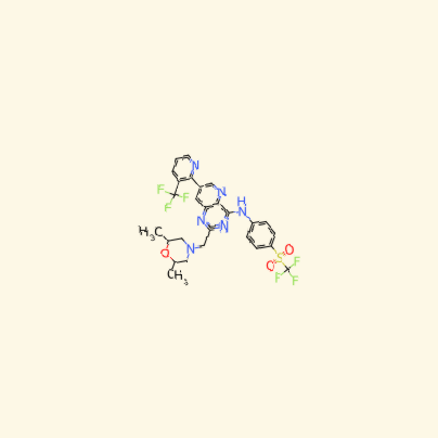 CC1CN(Cc2nc(Nc3ccc(S(=O)(=O)C(F)(F)F)cc3)c3ncc(-c4ncccc4C(F)(F)F)cc3n2)CC(C)O1